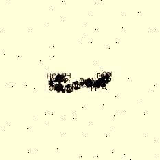 CCc1c2c(nc3ccc(OC(=O)N4CCN(N5CCN(Cc6ccc(-n7c(O)nnc7-c7cc(C(C)C)c(O)cc7O)cc6)CC5)CC4)cc13)-c1cc3c(c(=O)n1C2)COC(=O)C3(O)CC